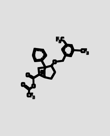 O=C(OC(=O)C(F)(F)F)C1CC2(c3ccccc3)NC1CCC2OCc1cc(C(F)(F)F)cc(C(F)(F)F)c1